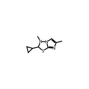 Cc1cn2c(n1)SC(C1CC1)N2C